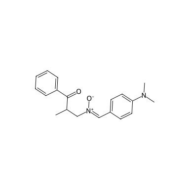 CC(C[N+]([O-])=Cc1ccc(N(C)C)cc1)C(=O)c1ccccc1